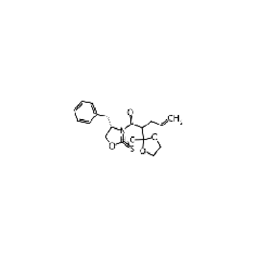 C=CCC(C(=O)N1C(=S)OC[C@@H]1Cc1ccccc1)C1(C)OCCO1